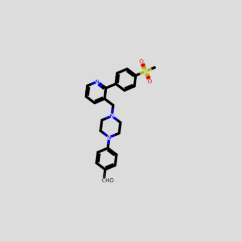 CS(=O)(=O)c1ccc(-c2ncccc2CN2CCN(c3ccc(C=O)cc3)CC2)cc1